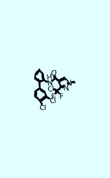 Cn1cc(C(=O)Nc2ccccc2-c2ccc(Cl)c(Cl)c2)c(C(F)(F)Cl)n1